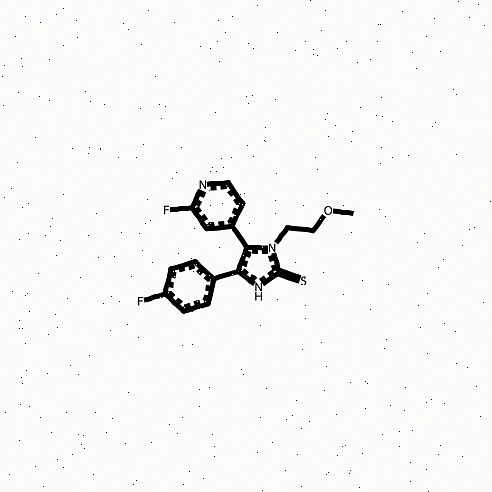 COCCn1c(-c2ccnc(F)c2)c(-c2ccc(F)cc2)[nH]c1=S